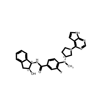 CN(c1ccc(C(=O)N[C@@H]2c3ccccc3C[C@@H]2O)cc1F)[C@@H]1CCN(c2ncnc3[nH]ccc23)C1